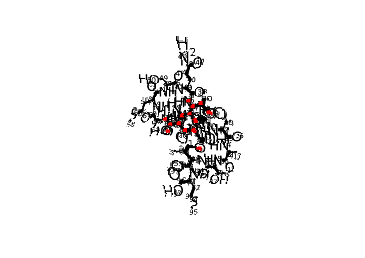 CC[C@H](C)[C@H](NC(=O)[C@@H](NC(=O)[C@H](C)NC(=O)[C@H](CO)NC(=O)[C@H](CC(N)=O)NC(=O)[C@@H](NC(=O)[C@@H](NC(=O)[C@H](CCC(N)=O)NC(=O)[C@H](CO)NC(=O)[C@H](CCSC)NC(=O)[C@H](C)NC(=O)[C@H](CCC(=O)O)NC(=O)[C@H](C)N)C(C)C)[C@@H](C)O)[C@@H](C)O)C(=O)N[C@@H](CCSC)C(=O)O